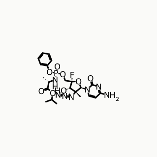 CC(C)OC(=O)[C@H](C)NP(=O)(OC[C@@]1(F)O[C@@H](n2ccc(N)nc2=O)[C@](C)(N=[N+]=[N-])[C@@H]1O)Oc1ccccc1